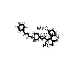 COc1ccc2ncc(CO)c(C(F)CCC3(C(=O)O)CCN(CCCc4ccccc4)CC3)c2c1